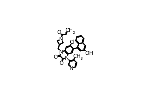 C=CC(=O)N1CC(Cn2c(=O)c(=O)n(-c3cnccc3C)c3cc(-c4cc(O)cc5ccccc45)c(Cl)cc32)C1